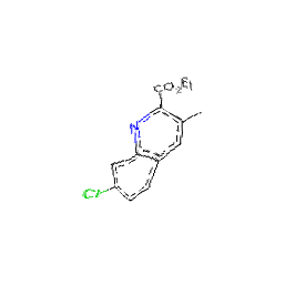 CCOC(=O)c1nc2cc(Cl)ccc2cc1C